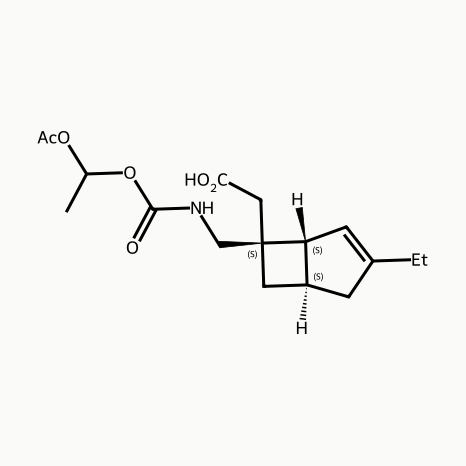 CCC1=C[C@@H]2[C@@H](C1)C[C@]2(CNC(=O)OC(C)OC(C)=O)CC(=O)O